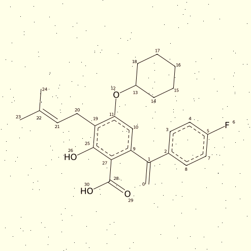 C=C(c1ccc(F)cc1)c1cc(OC2CCCCC2)c(CC=C(C)C)c(O)c1C(=O)O